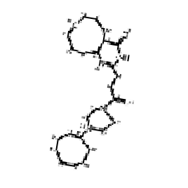 O=C1NC(CCC(=O)N2CCN(C3CCCCCCC3)CC2)=NC2CCCCCCCC12